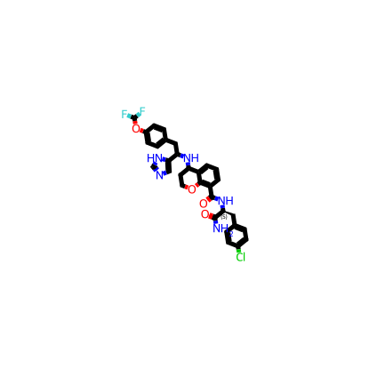 NC(=O)[C@H](Cc1ccc(Cl)cc1)NC(=O)c1cccc2c1OCCC2NC(Cc1ccc(OC(F)F)cc1)c1cnc[nH]1